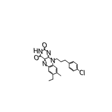 CCc1cc2nc3c(=O)[nH]c(=O)nc-3n(CCCc3ccc(Cl)cc3)c2cc1C